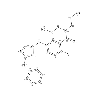 Cc1ccc(Sc2cnc(Nc3ccccn3)s2)cc1C(=O)N(CCC#N)CCC#N